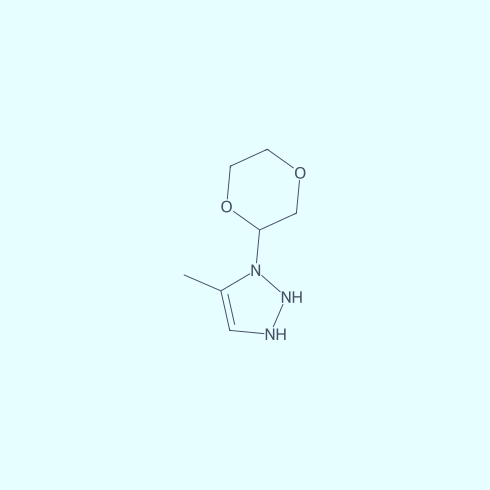 CC1=CNNN1C1COCCO1